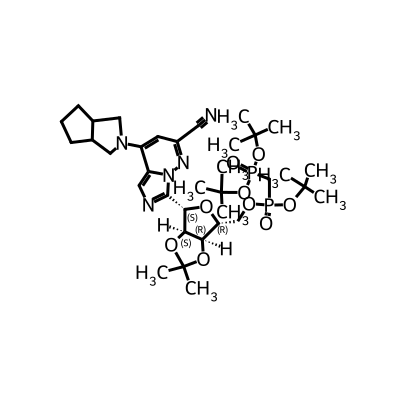 CC(C)(C)OP(=O)(CP(=O)(OC(C)(C)C)OC(C)(C)C)OC[C@H]1O[C@@H](c2ncc3c(N4CC5CCCC5C4)cc(C#N)nn23)[C@@H]2OC(C)(C)O[C@@H]21